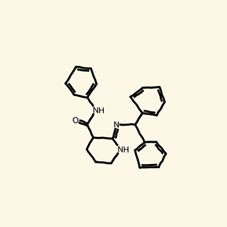 O=C(Nc1ccccc1)C1CCCN/C1=N\C(c1ccccc1)c1ccccc1